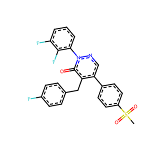 CS(=O)(=O)c1ccc(-c2cnn(-c3cccc(F)c3F)c(=O)c2Cc2ccc(F)cc2)cc1